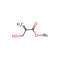 C=C(CO)C(=O)OC(C)CC